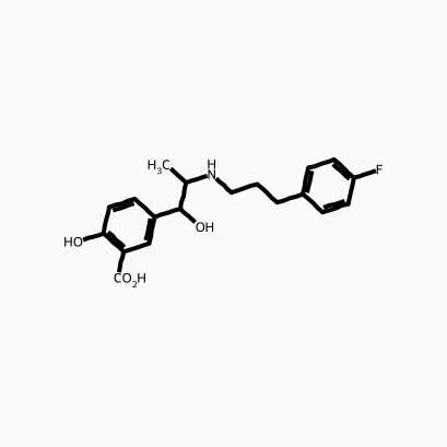 CC(NCCCc1ccc(F)cc1)C(O)c1ccc(O)c(C(=O)O)c1